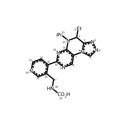 CCC1c2nncn2-c2cnc(-c3ccncc3CNC(=O)O)nc2N1C(C)C